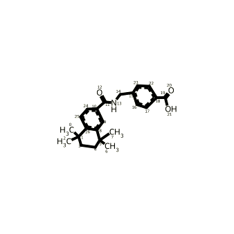 CC1(C)CCC(C)(C)c2cc(C(=O)NCc3ccc(C(=O)O)cc3)ccc21